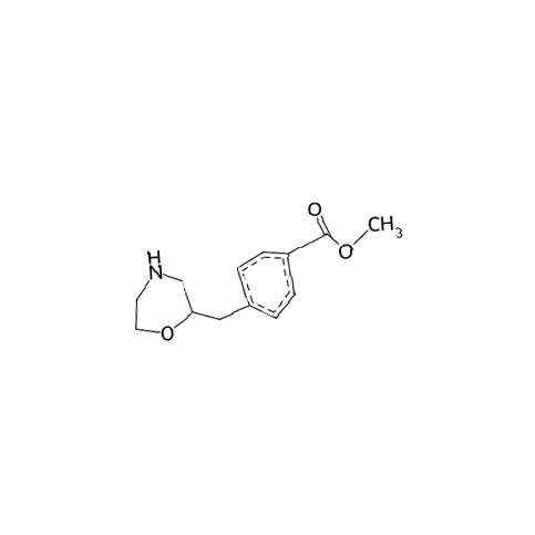 COC(=O)c1ccc(CC2CNCCO2)cc1